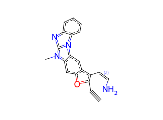 C#Cc1oc2cc3c(cc2c1/C=C\N)n1c2ccccc2nc1n3C